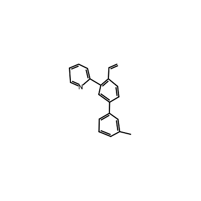 C=Cc1ccc(-c2cccc(C)c2)cc1-c1ccccn1